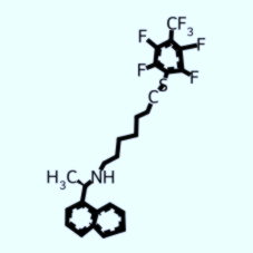 C[C@@H](NCCCCCCCSc1c(F)c(F)c(C(F)(F)F)c(F)c1F)c1cccc2ccccc12